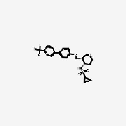 O=S(=O)(N[C@H]1CCOC[C@@H]1COc1ccc(-c2ccc(C(F)(F)F)nc2)cc1)C1CC1